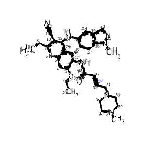 CCOc1cc2nc(CC)c(C#N)c(Nc3ccc4c(cnn4C)c3)c2cc1NC(=O)/C=C/CN1CCN(C)CC1